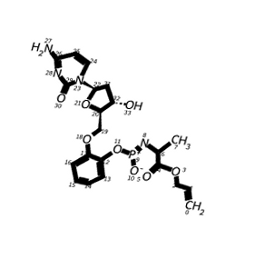 C=CCOC(=O)C(C)/N=[P+](\[O-])Oc1ccccc1OC[C@H]1O[C@@H](n2ccc(N)nc2=O)C[C@@H]1O